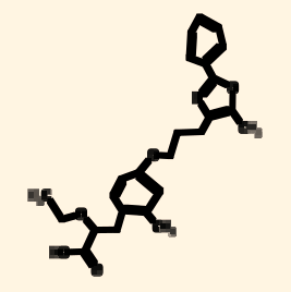 CCOC(Cc1ccc(OCCCc2nc(-c3ccccc3)oc2C)cc1C)C(=O)O